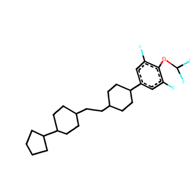 Fc1cc(C2CCC(CCC3CCC(C4CCCC4)CC3)CC2)cc(F)c1OC(F)F